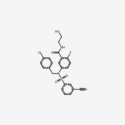 N#Cc1cccc(S(=O)(=O)N(Cc2ccc(Cl)cc2)c2ccc(F)c(C(=O)NCCO)c2)c1